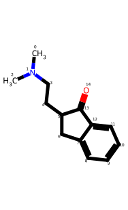 CN(C)CCC1Cc2ccccc2C1=O